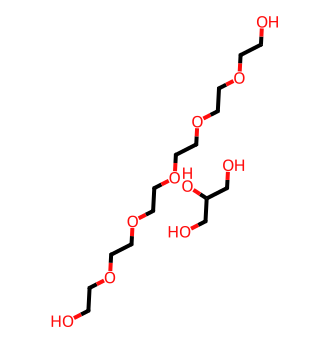 OCC(O)CO.OCCOCCOCCOCCOCCOCCO